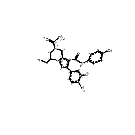 N#Cc1ccc(NC(=O)c2c(-c3ccc(Cl)c(Cl)c3)nn3c2CN(C(N)=O)CC3CF)cc1